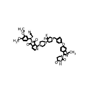 CCOc1cc([C@@H](CC#N)N2C(=O)c3ccnc(N4CCN([C@@H]5CCN(Cc6ccc(Oc7ccc8c(N9CCC(=O)NC9=O)nn(C)c8c7)cc6)CC5(F)F)CC4)c3C2=O)ccc1OC